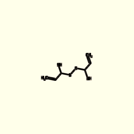 C=CC(S)SSC(S)C=C